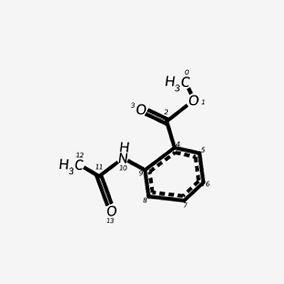 COC(=O)c1c[c]ccc1NC(C)=O